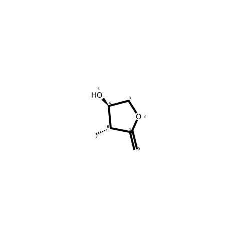 C=C1OC[C@H](O)[C@H]1C